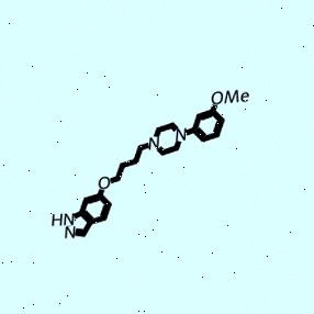 COc1cccc(N2CCN(CCCCOc3ccc4cn[nH]c4c3)CC2)c1